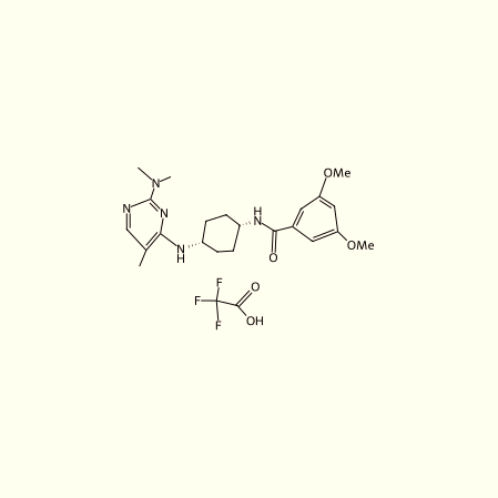 COc1cc(OC)cc(C(=O)N[C@H]2CC[C@@H](Nc3nc(N(C)C)ncc3C)CC2)c1.O=C(O)C(F)(F)F